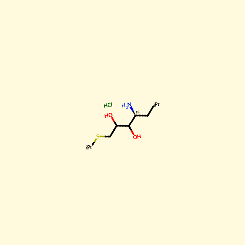 CC(C)C[C@H](N)C(O)C(O)CSC(C)C.Cl